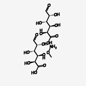 CON.O=C[C@H](O)[C@@H](O)[C@@H](O)[C@H](O)C(=O)O.O=C[C@H](O)[C@@H](O)[C@@H](O)[C@H](O)C(=O)O